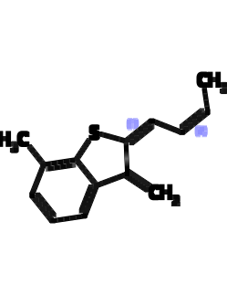 C=c1/c(=C\C=C/C)sc2c(C)cccc12